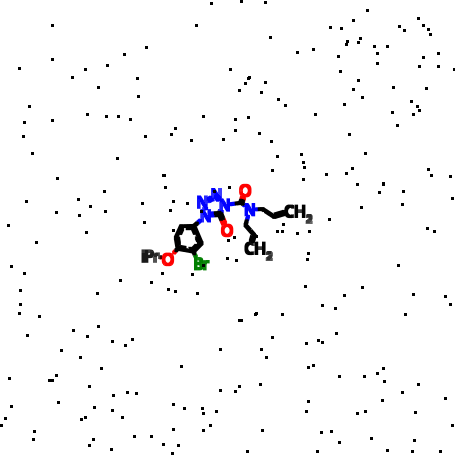 C=CCN(CC=C)C(=O)n1nnn(-c2ccc(OC(C)C)c(Br)c2)c1=O